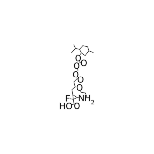 CCCOC(CC(=O)OCOC(=O)OC1CC(C)CCC1C(C)C)CC1C(N)C1(F)C(=O)O